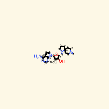 CC(=O)O[C@@H]1[C@H](O)[C@@H](CN2CCCC23CCN(C)CC3)O[C@H]1n1ccc2c(N)ncnc21